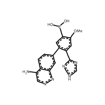 COc1cc(-c2nc[nH]n2)c(-c2ccc3c(N)cnnc3c2)cc1B(O)O